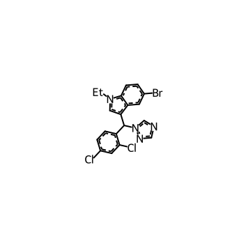 CCn1cc(C(c2ccc(Cl)cc2Cl)n2cncn2)c2cc(Br)ccc21